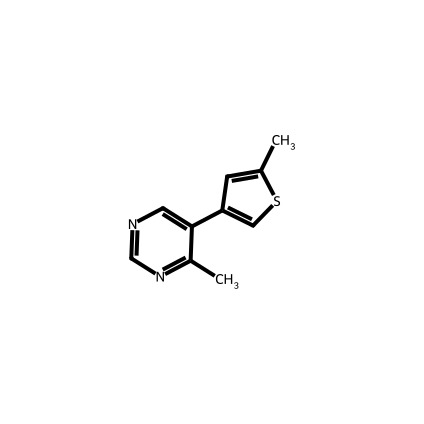 Cc1cc(-c2cncnc2C)cs1